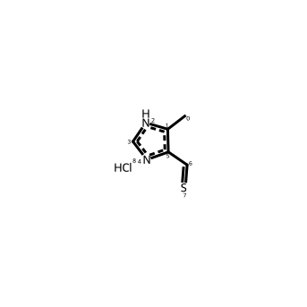 Cc1[nH]cnc1C=S.Cl